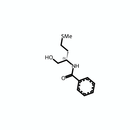 CSCC[C@@H](CO)NC(=O)c1ccccc1